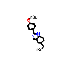 CCCCOc1ccc(-c2ncc3c(n2)CCC(CC(C)CC)C3)cc1